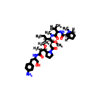 CC[C@H](C)[C@@H]([C@@H](CC(=O)N1CCCC1[C@H](OC)[C@@H](C)C(=O)NC(CO)Cc1ccc(N)cc1)OC)N(C)C(=O)C(NC(=O)[C@@H]1[C@H]2CC[C@H](C2)N1C)C(C)C